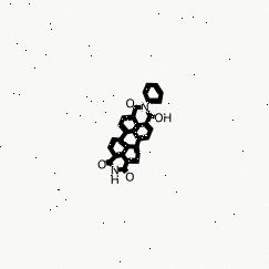 O=C1NC(=O)c2ccc3c4ccc5c6c(ccc(c7ccc1c2c73)c64)C(=O)N(c1ccccc1)C5O